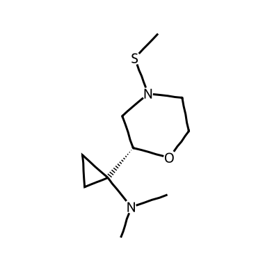 CSN1CCO[C@H](C2(N(C)C)CC2)C1